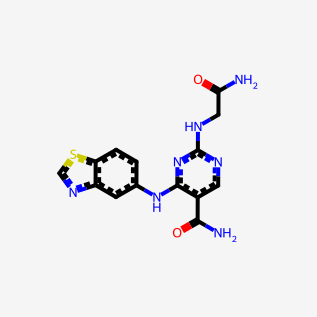 NC(=O)CNc1ncc(C(N)=O)c(Nc2ccc3scnc3c2)n1